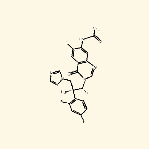 C[C@@H](n1cnc2cc(NC(=O)C(F)(F)F)c(F)cc2c1=O)[C@](O)(Cn1cncn1)c1ccc(F)cc1F